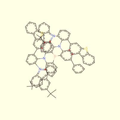 CC(C)(C)c1cc(-c2ccc3c(c2)N(c2c(-c4ccc5sc6ccccc6c5c4)cccc2-n2c4ccccc4c4ccccc42)c2cc(C(C)(C)C)cc4c2B3c2cc(-c3ccccc3)ccc2N4c2c(-c3ccc4c(c3)sc3ccccc34)cccc2-n2c3ccccc3c3ccccc32)cc(C(C)(C)C)c1